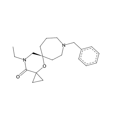 CCN1C[C@]2(CCCN(Cc3ccccc3)CC2)OC2(CC2)C1=O